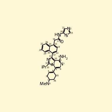 CNC1CC=C(c2cnc(N)c3c(-c4ccc(CC(=O)Nc5cncs5)c5ccccc45)nc(C(C)C)n23)CC1